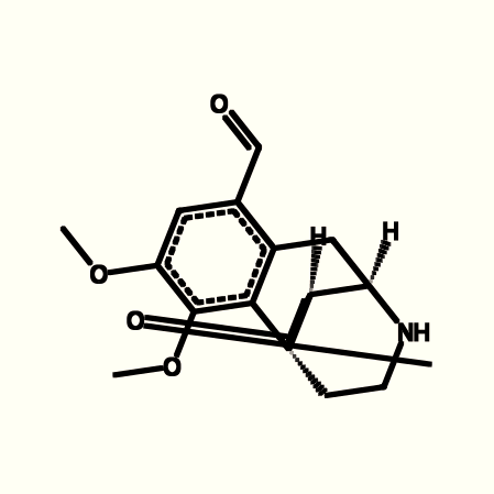 COc1cc(C=O)c2c(c1OC)[C@]13CCN[C@H](C2)[C@@H]1CCC(=O)C3